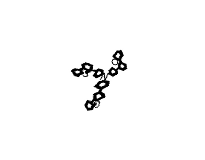 c1ccc2c(c1)oc1ccc(-c3ccc(N(c4ccc(-c5cccc6c5oc5ccccc56)cc4)c4ccc(-c5cccc6c5sc5ccccc56)cc4)cc3)cc12